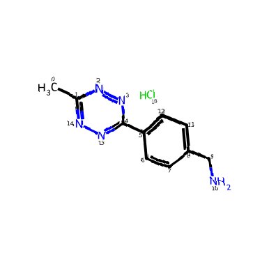 Cc1nnc(-c2ccc(CN)cc2)nn1.Cl